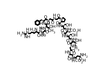 CC[C@H](C)[C@H](NC(=O)[C@@H](N)CCCNC(=N)N)C(=O)N[C@H](C(=O)N[C@@H](Cc1ccccc1)C(=O)NCC(=O)NCC(=O)N1CCC[C@H]1C(=O)N[C@@H](CO)C(=O)N[C@@H](CC(=O)O)C(=O)N[C@@H](CO)C(=O)N[C@H](C(=O)NCC(=O)N[C@@H](CO)C(=O)N[C@@H](CC(N)=O)C(=O)O)[C@@H](C)O)[C@@H](C)O